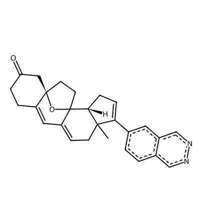 CC12CC=C3C=C4CCC(=O)C[C@]45CCC3(O5)[C@@H]1CC=C2c1ccc2cnncc2c1